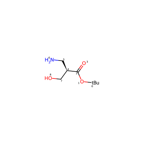 CC(C)(C)OC(=O)[C@H](CN)CO